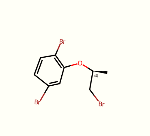 C[C@@H](CBr)Oc1cc(Br)ccc1Br